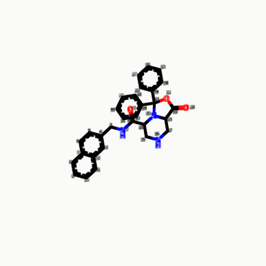 O=C(NCc1ccc2ccccc2c1)C1CNCC2C(=O)OC(c3ccccc3)(c3ccccc3)N12